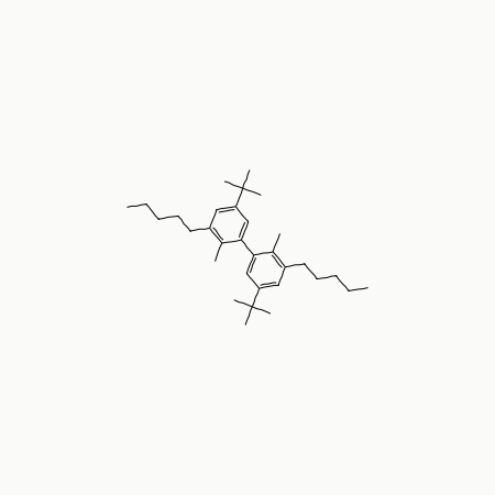 CCCCCc1cc(C(C)(C)C)cc(-c2cc(C(C)(C)C)cc(CCCCC)c2C)c1C